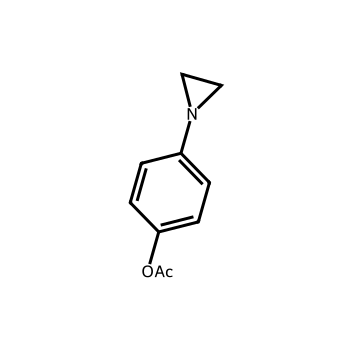 CC(=O)Oc1ccc(N2CC2)cc1